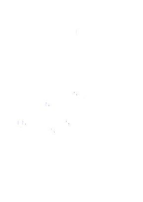 NC1NN(c2cc(Cl)cc(Cl)c2)C(N)N1Cc1ccc(C(F)(F)F)cc1